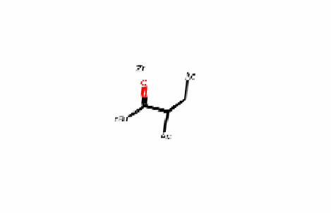 CC(=O)CC(C(C)=O)C(=O)C(C)(C)C.[Zr]